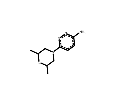 CC1CN(c2ccc(N)nn2)CC(C)O1